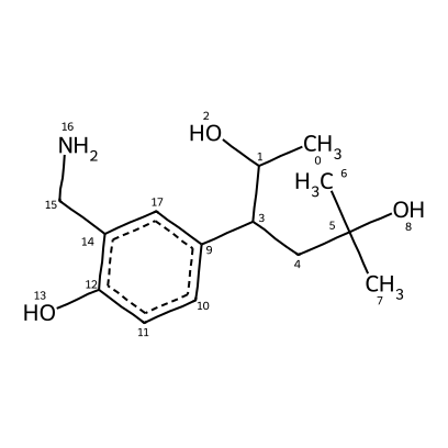 CC(O)C(CC(C)(C)O)c1ccc(O)c(CN)c1